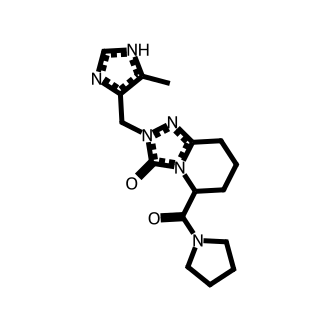 Cc1[nH]cnc1Cn1nc2n(c1=O)C(C(=O)N1CCCC1)CCC2